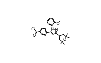 COc1ccccc1-n1nc(C2CC(C)(C)OC(C)(C)C2)cc1-c1ccc(C(=O)Cl)cc1